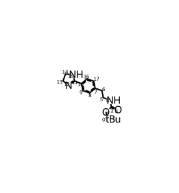 CC(C)(C)OC(=O)NCCc1ccc(C2=NCCN2)cc1